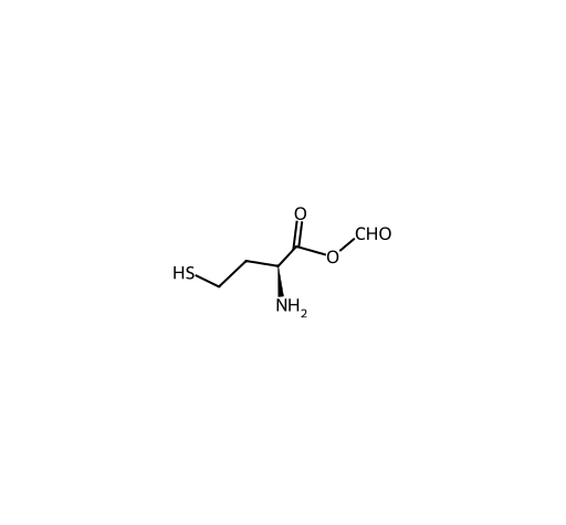 N[C@@H](CCS)C(=O)OC=O